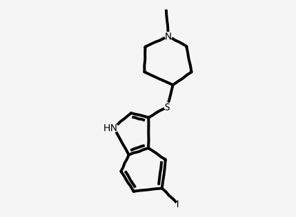 CN1CCC(Sc2c[nH]c3ccc(I)cc23)CC1